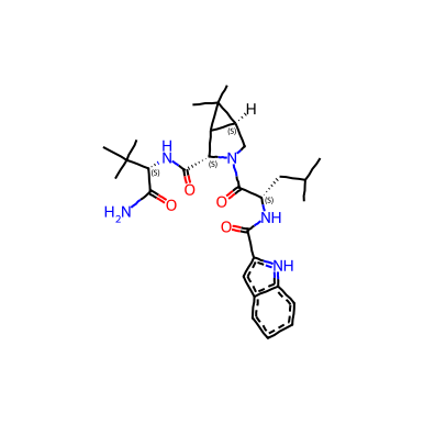 CC(C)C[C@H](NC(=O)c1cc2ccccc2[nH]1)C(=O)N1C[C@H]2C([C@H]1C(=O)N[C@H](C(N)=O)C(C)(C)C)C2(C)C